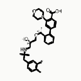 Cc1ccc(CC(C)(C)NC[C@@H](O)CO[C@H](C)c2ccccc2-c2ccc(C(=O)O)c(N3CCOCC3)c2)cc1F